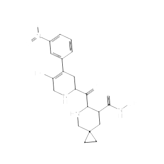 CC1=C(c2cccc([N+](=O)[O-])c2)CC(C(=O)C2NCC3(CC3)CC2C(=O)NO)NC1